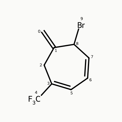 C=C1CC(C(F)(F)F)=CC=CC1Br